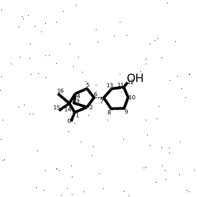 CC1C2CC(C[C@@H]2C2CCCC(O)C2)C1(C)C